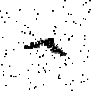 COC(=O)N/C=C/CCC(C)c1cc(O)c(C(=O)/C(C)=C/c2cccc(OCCC(C)C)c2)c(=O)o1